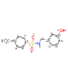 Cc1ccc(S(=O)(=O)/N=C/c2cccc(O)c2)cc1